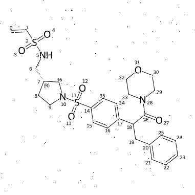 C=CS(=O)(=O)NC[C@H]1CCN(S(=O)(=O)c2ccc(C(Cc3ccccc3)C(=O)N3CCOCC3)cc2)C1